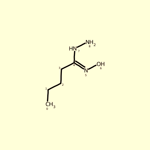 CCCCC(=NO)NN